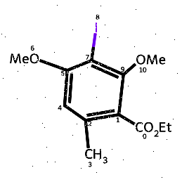 CCOC(=O)c1c(C)cc(OC)c(I)c1OC